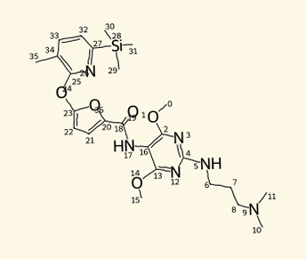 COc1nc(NCCCN(C)C)nc(OC)c1NC(=O)c1ccc(Oc2nc([Si](C)(C)C)ccc2C)o1